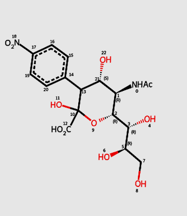 CC(=O)N[C@H]1[C@H]([C@H](O)[C@H](O)CO)OC(O)(C(=O)O)C(c2ccc([N+](=O)[O-])cc2)[C@@H]1O